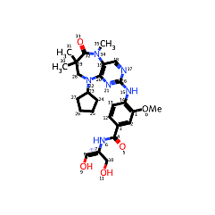 COc1cc(C(=O)N/C(=C/O)CO)ccc1Nc1ncc2c(n1)N(C1CCCC1)CC(C)(C)C(=O)N2C